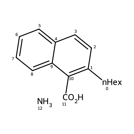 CCCCCCc1ccc2ccccc2c1C(=O)O.N